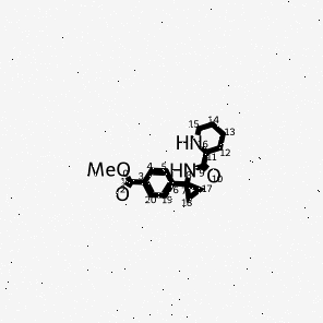 COC(=O)c1ccc(C2(NC(=O)C3CCCCN3)CC2)cc1